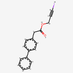 O=C(Cc1ccc(-c2ccccc2)cc1)OCC#CI